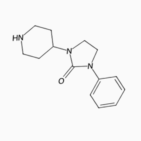 O=C1N(c2ccccc2)CCN1C1CCNCC1